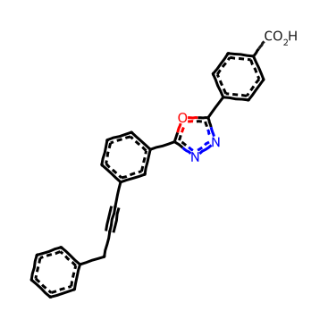 O=C(O)c1ccc(-c2nnc(-c3cccc(C#CCc4ccccc4)c3)o2)cc1